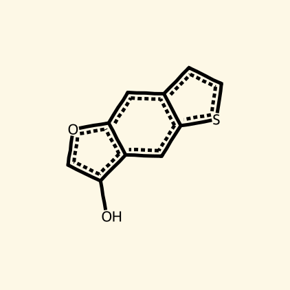 Oc1coc2cc3ccsc3cc12